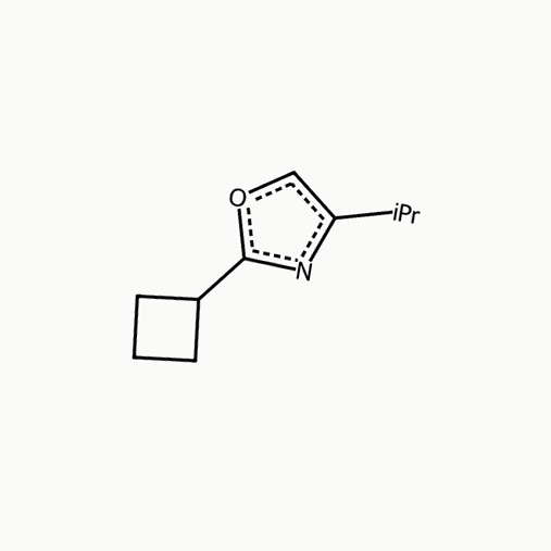 CC(C)c1coc(C2CCC2)n1